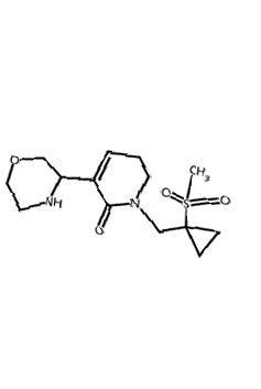 CS(=O)(=O)C1(CN2CCC=C(C3COCCN3)C2=O)CC1